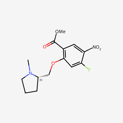 COC(=O)c1cc([N+](=O)[O-])c(F)cc1OC[C@@H]1CCCN1C